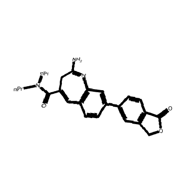 CCCN(CCC)C(=O)C1=Cc2ccc(-c3ccc4c(c3)COC4=O)cc2N=C(N)C1